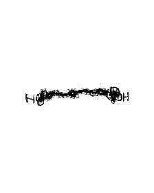 CCO[C@@H](Cc1ccc(OCC=CC#Cc2ccc(C#CC=CCOc3ccc(C[C@H](OCC)C(=O)O)cc3)cc2)cc1)C(=O)O